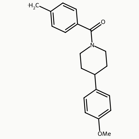 [CH2]c1ccc(C(=O)N2CCC(c3ccc(OC)cc3)CC2)cc1